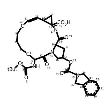 CC(C)(C)OC(=O)NC1CCCCCC=CC2CC2(C(=O)O)NC(=O)C2CC(OC(=O)N3Cc4ccccc4C3)CN2C1=O